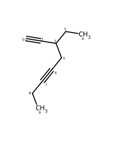 [C]#CC(CC)CC#CCC